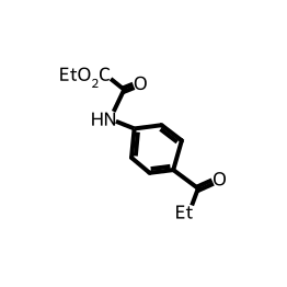 CCOC(=O)C(=O)Nc1ccc(C(=O)CC)cc1